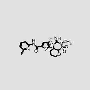 CN1C(=N)N[C@@]2(c3sc(C(=O)Nc4cccc(F)n4)cc3Cl)CCCOC2S1(=O)=O